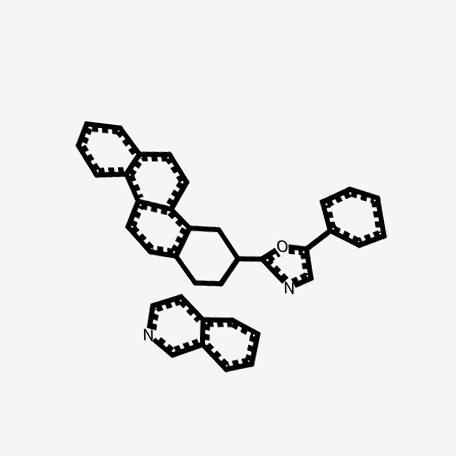 c1ccc(-c2cnc(C3CCc4ccc5c(ccc6ccccc65)c4C3)o2)cc1.c1ccc2cnccc2c1